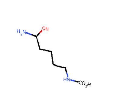 NC(O)CCCCNC(=O)O